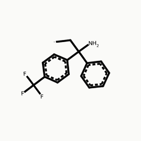 [CH2]CC(N)(c1ccccc1)c1ccc(C(F)(F)F)cc1